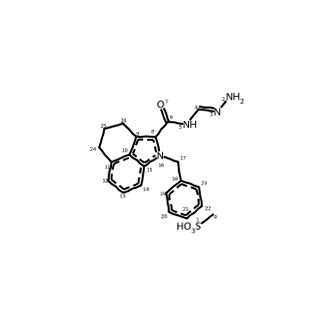 CS(=O)(=O)O.NN=CNC(=O)c1c2c3c(cccc3n1Cc1ccccc1)CCC2